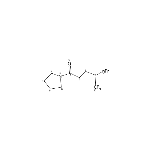 CCCC(CCC(=O)N1CCCC1)C(F)(F)F